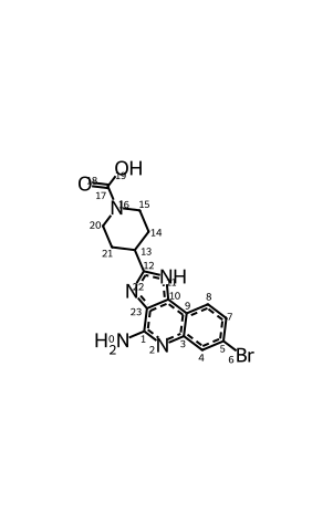 Nc1nc2cc(Br)ccc2c2[nH]c(C3CCN(C(=O)O)CC3)nc12